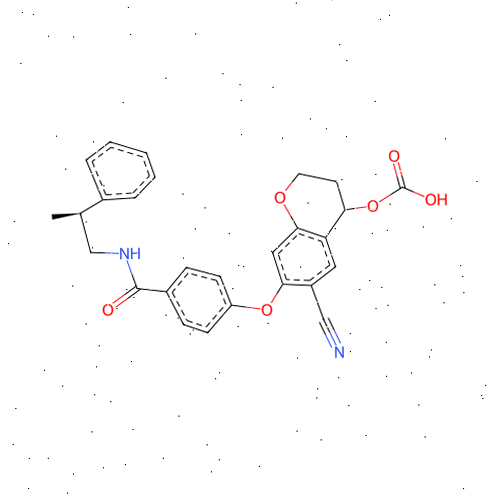 C[C@H](CNC(=O)c1ccc(Oc2cc3c(cc2C#N)C(OC(=O)O)CCO3)cc1)c1ccccc1